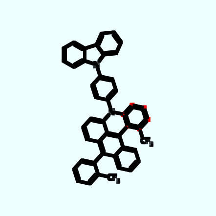 FC(F)(F)c1ccccc1-c1c2ccccc2c(-c2ccccc2C(F)(F)F)c2c(N(c3ccccc3)c3ccc(-n4c5ccccc5c5ccccc54)cc3)cccc12